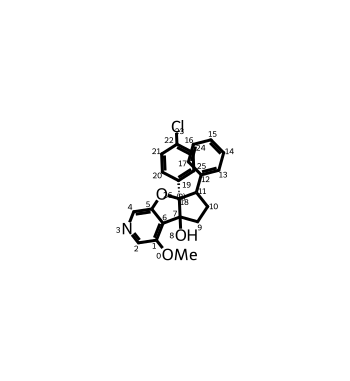 COc1cncc2c1C1(O)CCC(c3ccccc3)[C@]1(c1ccc(Cl)cc1)O2